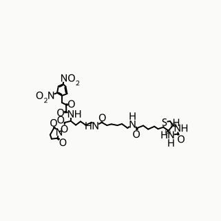 O=C(CCCCCNC(=O)CCCCC1SC[C@@H]2NC(=O)N[C@H]12)NCCCCC(NC(=O)C(=O)Cc1ccc([N+](=O)[O-])cc1[N+](=O)[O-])C(=O)ON1C(=O)CCC1=O